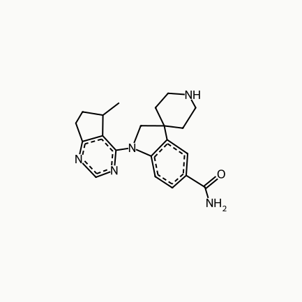 CC1CCc2ncnc(N3CC4(CCNCC4)c4cc(C(N)=O)ccc43)c21